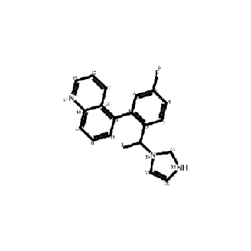 CC(c1ccc(F)cc1-c1cccc2ncccc12)N1C=CNC1